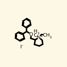 CC[N+]1(C)CCCCC1COC(c1ccccc1)c1ccccc1.[I-]